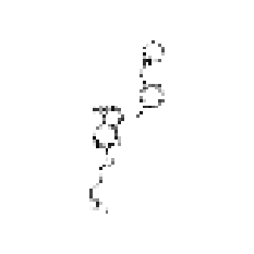 CCCCOc1ncc2[nH]cc(Cc3cccc(CN4CCCC4)c3)c2n1